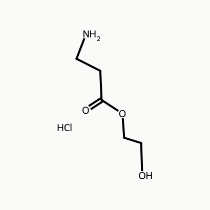 Cl.NCCC(=O)OCCO